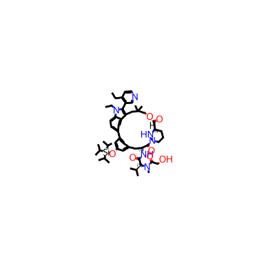 CCc1ccncc1-c1c2c3cc(ccc3n1CC)-c1cc(cc(O[Si](C(C)C)(C(C)C)C(C)C)c1)C[C@H](NC(=O)[C@H](C(C)C)N(C)C(=O)CO)C(=O)N1CCC[C@H](N1)C(=O)OCC(C)(C)C2